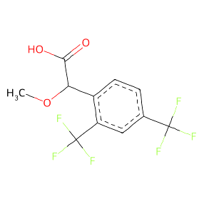 COC(C(=O)O)c1ccc(C(F)(F)F)cc1C(F)(F)F